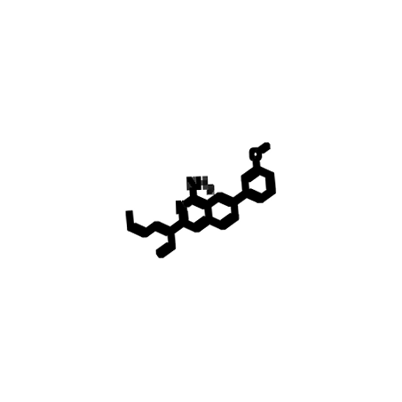 C=C/C(=C\C=C/C)c1cc2ccc(-c3cccc(OC)c3)cc2c(N)n1